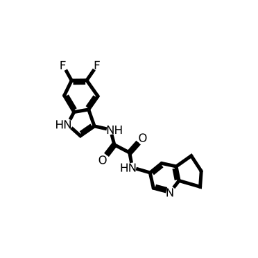 O=C(Nc1cnc2c(c1)CCC2)C(=O)Nc1c[nH]c2cc(F)c(F)cc12